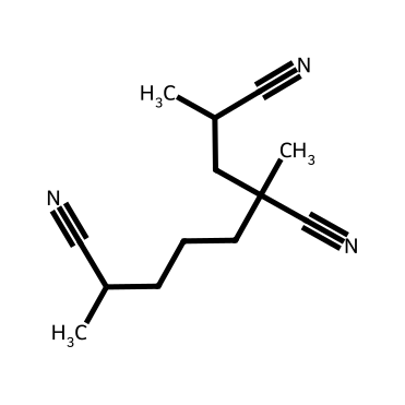 CC(C#N)CCCC(C)(C#N)CC(C)C#N